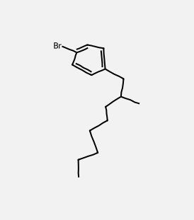 CCCCCCC(C)Cc1ccc(Br)cc1